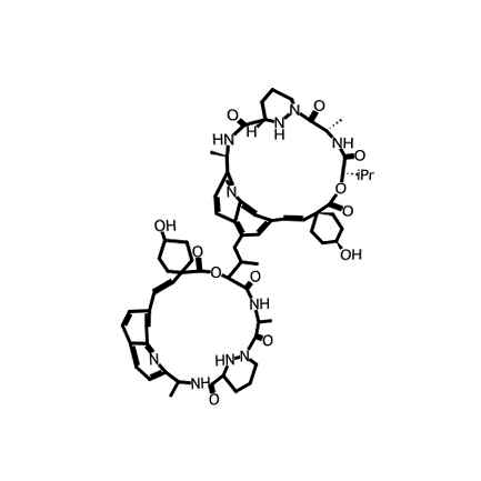 CC1NC(=O)C(C(C)Cc2cc3cc4nc(ccc24)[C@@H](C)NC(=O)[C@@H]2CCCN(N2)C(=O)[C@H](C)NC(=O)[C@H](C(C)C)OC(=O)[C@]2(/C=C/3)CC[C@@H](O)CC2)OC(=O)C2(/C=C/c3ccc4ccc(nc4c3)C(C)NC(=O)C3CCCN(N3)C1=O)CCC(O)CC2